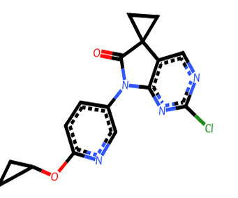 O=C1N(c2ccc(OC3CC3)nc2)c2nc(Cl)ncc2C12CC2